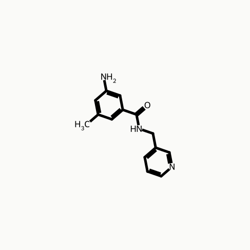 Cc1cc(N)cc(C(=O)NCc2cccnc2)c1